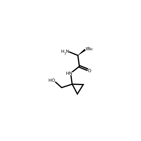 CC(C)(C)[C@H](N)C(=O)NC1(CO)CC1